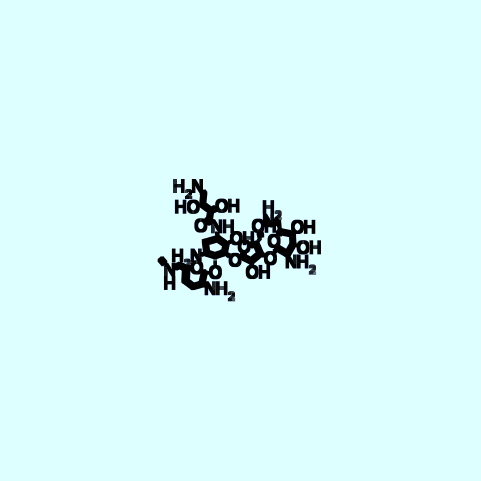 CNCC1=CC[C@@H](N)[C@@H](O[C@H]2[C@H](O[C@@H]3O[C@H](CO)[C@@H](O[C@H]4O[C@@H](CN)[C@@H](O)[C@H](O)[C@H]4N)[C@H]3O)[C@@H](O)[C@H](NC(=O)C(O)[C@H](O)CN)C[C@@H]2N)O1